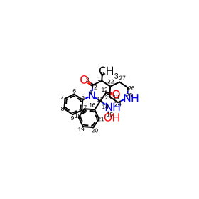 CC(C(=O)N(c1ccccc1)C(C=O)(NO)c1ccccc1)C1CCNCC1